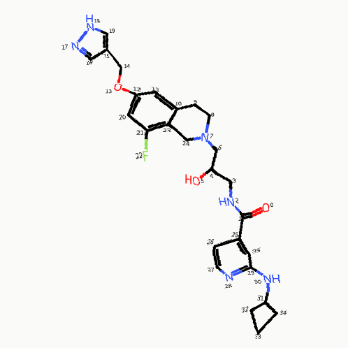 O=C(NCC(O)CN1CCc2cc(OCc3cn[nH]c3)cc(F)c2C1)c1ccnc(NC2CCC2)c1